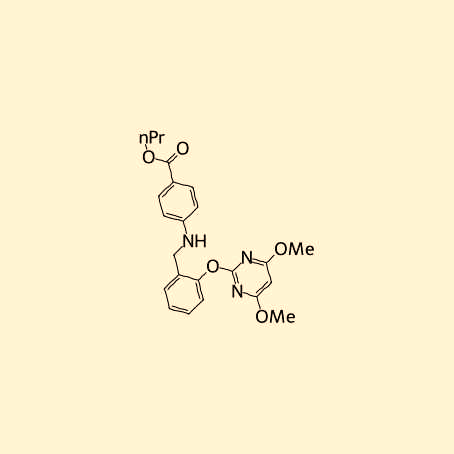 CCCOC(=O)c1ccc(NCc2ccccc2Oc2nc(OC)cc(OC)n2)cc1